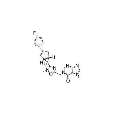 CN1OC(Cn2cnc3ncn(C)c3c2=O)=NC1[C@H]1[C@@H]2C=C(c3ccc(F)cc3)C[C@@H]21